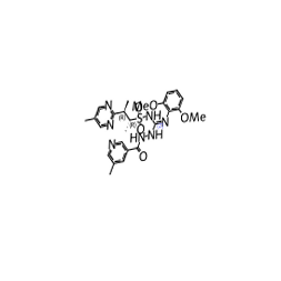 COc1cccc(OC)c1/N=C(/NNC(=O)c1cncc(C)c1)NS(=O)(=O)[C@H](C)[C@H](C)c1ncc(C)cn1